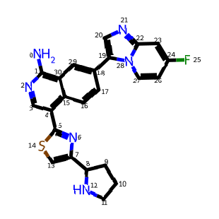 Nc1ncc(-c2nc(C3CCCN3)cs2)c2ccc(-c3cnc4cc(F)ccn34)cc12